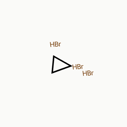 Br.Br.Br.C1CC1